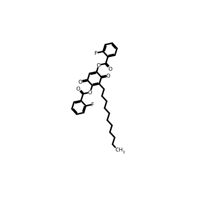 CCCCCCCCCCCC1=C(OC(=O)c2ccccc2F)C(=O)C=C(OC(=O)c2ccccc2F)C1=O